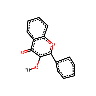 [2H]Oc1c(-c2ccccc2)oc2ccccc2c1=O